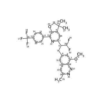 COc1cc(CC(c2cc3c(c(-c4ccc(C(F)(F)F)cc4)n2)OCC3(C)C)C(F)F)cc2cc(C)nnc12